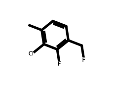 Cc1ccc(CF)c(F)c1Cl